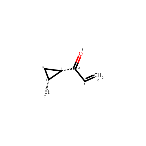 C=CC(=O)[C@H]1C[C@H]1CC